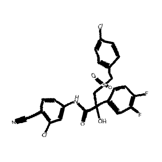 N#Cc1ccc(NC(=O)C(O)(CS(=O)(=O)Cc2ccc(Cl)cc2)c2ccc(F)c(F)c2)cc1Cl